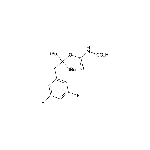 CC(C)(C)C(Cc1cc(F)cc(F)c1)(OC(=O)NC(=O)O)C(C)(C)C